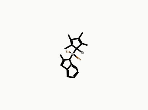 CC[C]1([Zr]([Br])([Br])[CH]2C(C)=Cc3ccccc32)C(C)=C(C)C(C)=C1C